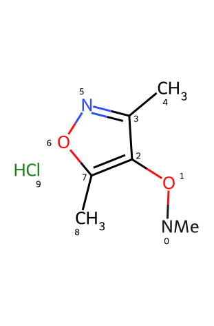 CNOc1c(C)noc1C.Cl